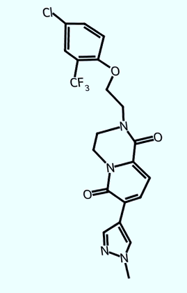 Cn1cc(-c2ccc3n(c2=O)CCN(CCOc2ccc(Cl)cc2C(F)(F)F)C3=O)cn1